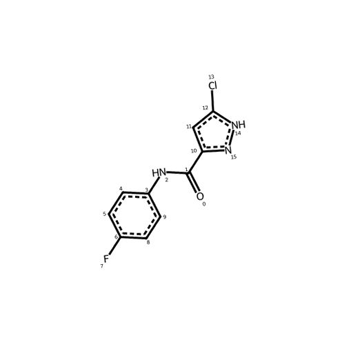 O=C(Nc1ccc(F)cc1)c1cc(Cl)[nH]n1